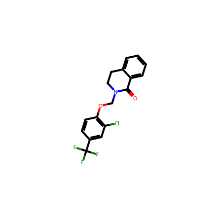 O=C1c2ccccc2CCN1COc1ccc(C(F)(F)F)cc1Cl